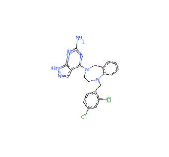 Nc1nc(N2CCN(Cc3ccc(Cl)cc3Cl)c3ccccc3C2)c2cn[nH]c2n1